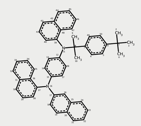 CC(C)(C)c1ccc(C(C)(C)N(c2ccc(N(c3ccc4ccccc4c3)c3cccc4ccccc34)cc2)c2cccc3ccccc23)cc1